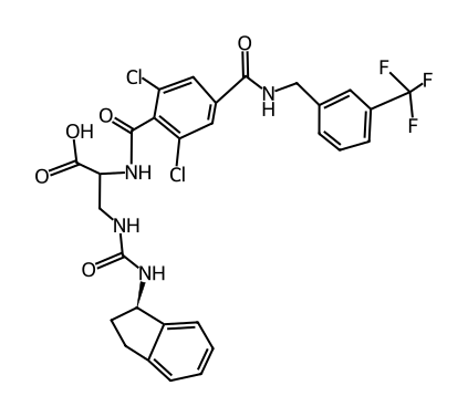 O=C(NCC(NC(=O)c1c(Cl)cc(C(=O)NCc2cccc(C(F)(F)F)c2)cc1Cl)C(=O)O)N[C@@H]1CCc2ccccc21